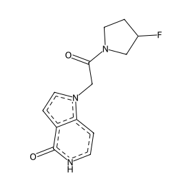 O=C(Cn1ccc2c(=O)[nH]ccc21)N1CCC(F)C1